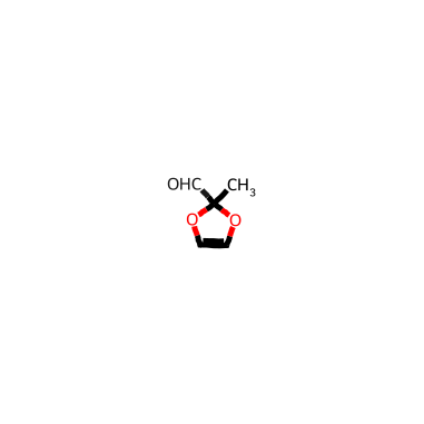 CC1(C=O)OC=CO1